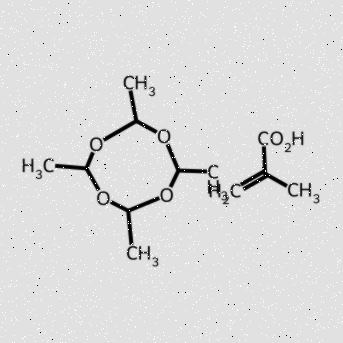 C=C(C)C(=O)O.CC1OC(C)OC(C)OC(C)O1